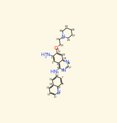 Nc1cc2c(Nc3ccc4ncccc4c3)ncnc2cc1OCCN1CCCCC1